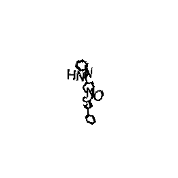 O=C(c1cc(-c2ccccc2)cs1)N1CCC(c2nc3ccccc3[nH]2)CC1